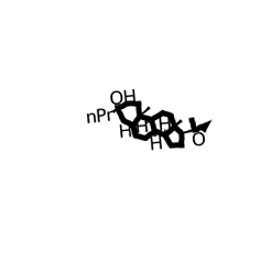 CCC[C@@]1(O)CC[C@@]2(C)[C@@H](CC[C@@H]3[C@@H]2CC[C@]2(C)[C@@H](C4(C)CO4)CC[C@@H]32)C1